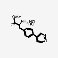 COC(=O)[C@@H](N)Cc1ccc(-c2ccnnc2)cc1.Cl.Cl